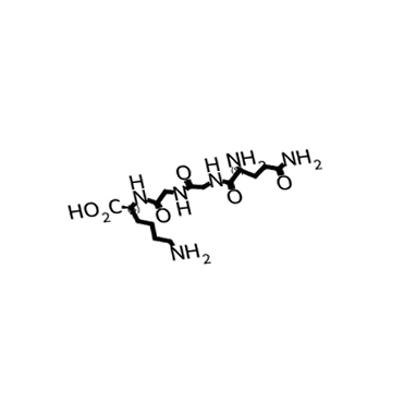 NCCCC[C@H](NC(=O)CNC(=O)CNC(=O)[C@@H](N)CCC(N)=O)C(=O)O